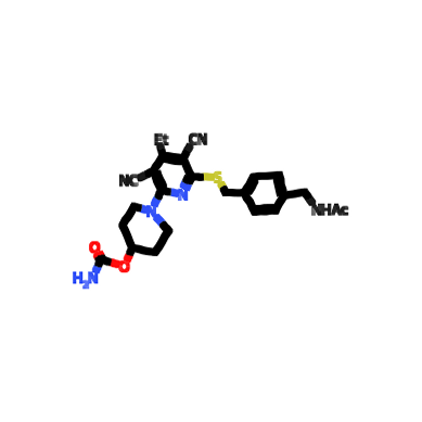 CCc1c(C#N)c(SCc2ccc(CNC(C)=O)cc2)nc(N2CCC(OC(N)=O)CC2)c1C#N